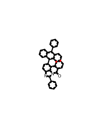 O=c1c2ccccc2c2c(-c3c4ccccc4c(-c4ccccc4)c4ccccc34)ccc3nc(-c4ccccc4)n1c32